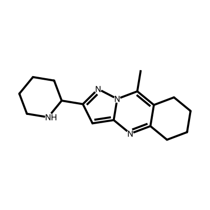 Cc1c2c(nc3cc(C4CCCCN4)nn13)CCCC2